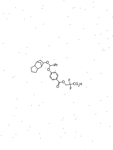 CC(C)C(Oc1ccc(C(=O)OCC(F)(F)C(=O)O)cc1)OC1CC2CC1C1CCCC21